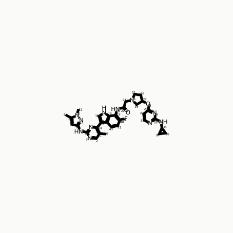 Cc1cnc(Nc2cc(C)n(C)n2)nc1-c1c[nH]c2c(NC(=O)CN3CCC(Oc4ccnc(NC5CC5)n4)C3)c(F)ccc12